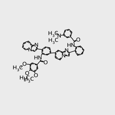 COc1cc(C(=O)Nc2cc(-c3ccn4cc(-c5ccccc5NC(=O)c5cccc(N(C)C)c5)nc4c3)ccc2-c2cn3ccccc3n2)cc(OC)c1OC